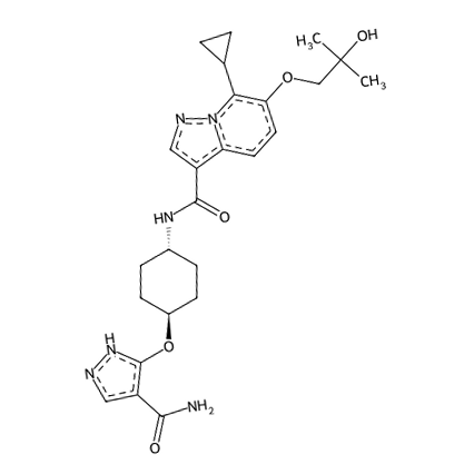 CC(C)(O)COc1ccc2c(C(=O)N[C@H]3CC[C@H](Oc4[nH]ncc4C(N)=O)CC3)cnn2c1C1CC1